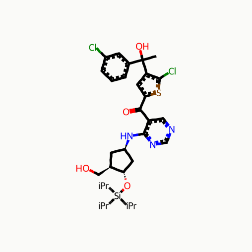 CC(C)[Si](O[C@H]1C[C@H](Nc2ncncc2C(=O)c2cc(C(C)(O)c3cccc(Cl)c3)c(Cl)s2)C[C@@H]1CO)(C(C)C)C(C)C